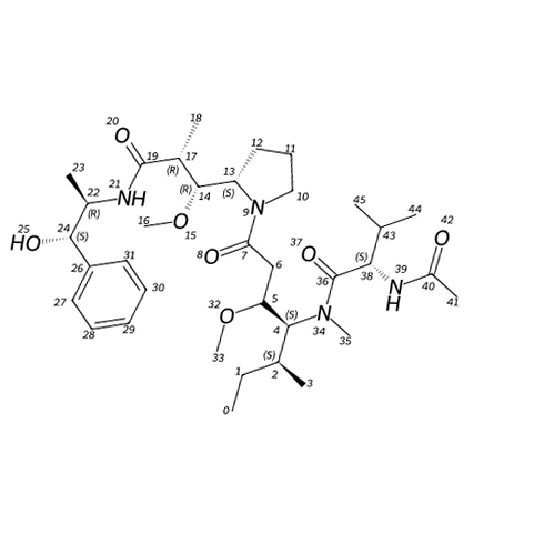 CC[C@H](C)[C@@H](C(CC(=O)N1CCC[C@H]1[C@H](OC)[C@@H](C)C(=O)N[C@H](C)[C@@H](O)c1ccccc1)OC)N(C)C(=O)[C@@H](NC(C)=O)C(C)C